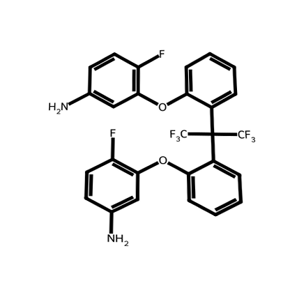 Nc1ccc(F)c(Oc2ccccc2C(c2ccccc2Oc2cc(N)ccc2F)(C(F)(F)F)C(F)(F)F)c1